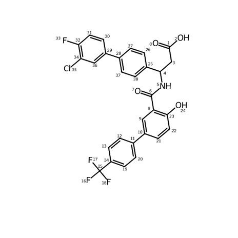 O=C(O)CC(NC(=O)c1cc(-c2ccc(C(F)(F)F)cc2)ccc1O)c1ccc(-c2ccc(F)c(Cl)c2)cc1